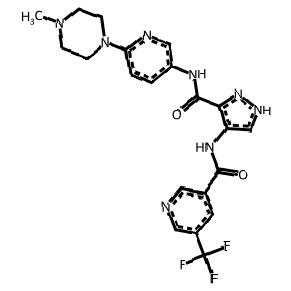 CN1CCN(c2ccc(NC(=O)c3n[nH]cc3NC(=O)c3cncc(C(F)(F)F)c3)cn2)CC1